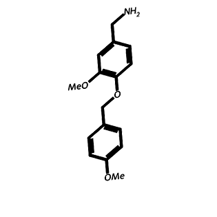 COc1ccc(COc2ccc(CN)cc2OC)cc1